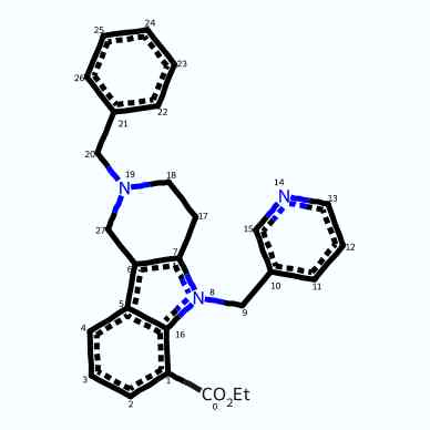 CCOC(=O)c1cccc2c3c(n(Cc4cccnc4)c12)CCN(Cc1ccccc1)C3